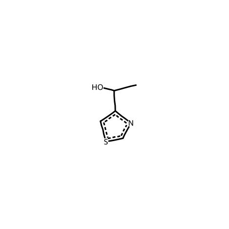 CC(O)c1cscn1